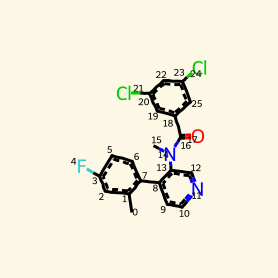 Cc1cc(F)ccc1-c1ccncc1N(C)C(=O)c1cc(Cl)cc(Cl)c1